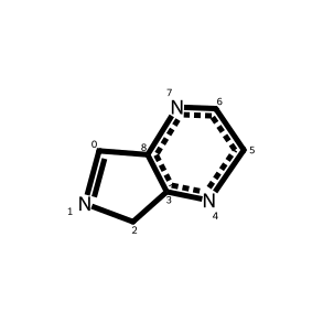 C1=NCc2nccnc21